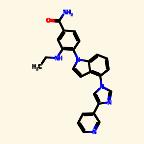 CCNc1cc(C(N)=O)ccc1-n1ccc2c(-n3cnc(-c4cccnc4)c3)cccc21